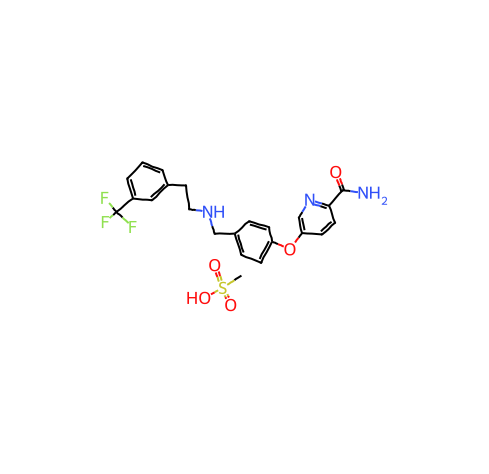 CS(=O)(=O)O.NC(=O)c1ccc(Oc2ccc(CNCCc3cccc(C(F)(F)F)c3)cc2)cn1